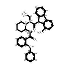 CCCCc1cccc2c1C(C(=O)N(CC(F)(F)F)N1CCCCC1NC(=O)c1ccccc1Oc1ccccc1)c1ccccc1-2